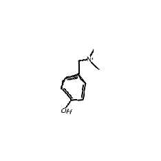 C[N+](C)Cc1ccc(O)cc1